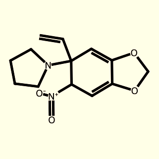 C=CC1(N2CCCC2)C=C2OCOC2=CC1[N+](=O)[O-]